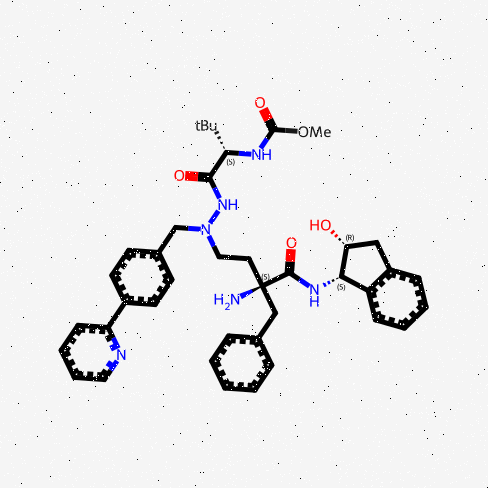 COC(=O)N[C@H](C(=O)NN(CC[C@@](N)(Cc1ccccc1)C(=O)N[C@H]1c2ccccc2C[C@H]1O)Cc1ccc(-c2ccccn2)cc1)C(C)(C)C